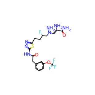 NC(=O)/C(N)=C/N(N)CC(F)CCc1nnc(NC(=O)Cc2cccc(OC(F)(F)F)c2)s1